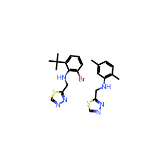 CC(C)(C)c1cccc(Br)c1NCc1nncs1.Cc1ccc(C)c(NCc2nncs2)c1